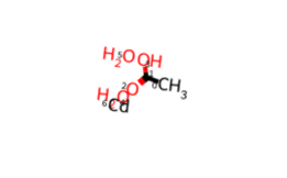 CC(=O)O.O.O.[Cd]